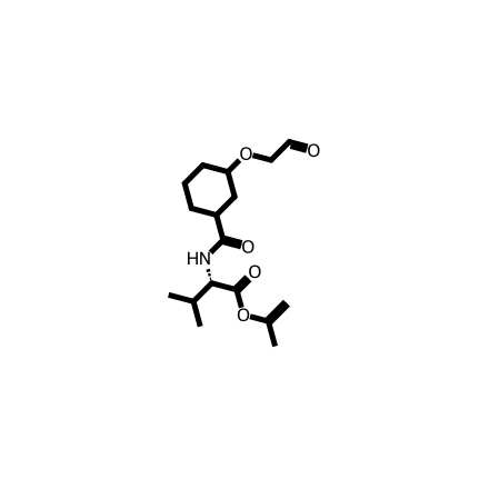 C=C(C)OC(=O)[C@@H](NC(=O)C1CCCC(OCC=O)C1)C(C)C